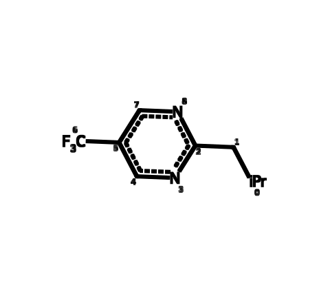 CC(C)Cc1ncc(C(F)(F)F)cn1